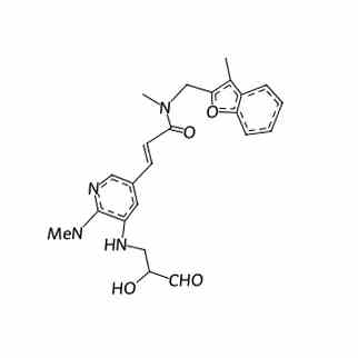 CNc1ncc(/C=C/C(=O)N(C)Cc2oc3ccccc3c2C)cc1NCC(O)C=O